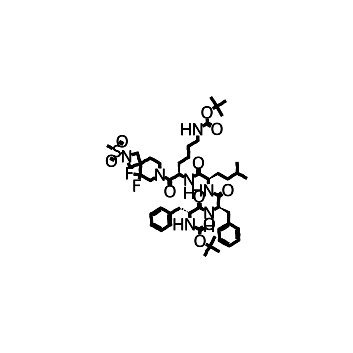 CC(C)CC[C@@H](NC(=O)[C@@H](Cc1ccccc1)NC(=O)[C@@H](Cc1ccccc1)NC(=O)OC(C)(C)C)C(=O)N[C@H](CCCCNC(=O)OC(C)(C)C)C(=O)N1CCC2(CN(S(C)(=O)=O)C2)C(F)(F)C1